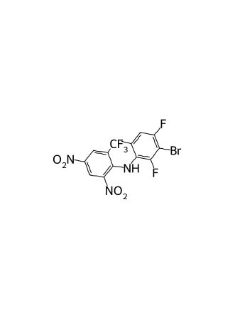 Cc1cc(F)c(Br)c(F)c1Nc1c([N+](=O)[O-])cc([N+](=O)[O-])cc1C(F)(F)F